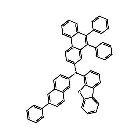 c1ccc(-c2ccc3cc(N(c4ccc5c(c4)c(-c4ccccc4)c(-c4ccccc4)c4ccccc45)c4cccc5c4oc4ccccc45)ccc3c2)cc1